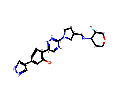 Oc1cc(-c2cn[nH]c2)ccc1-c1cnc(N2CCC(CNC3CCOCC3F)C2)nn1